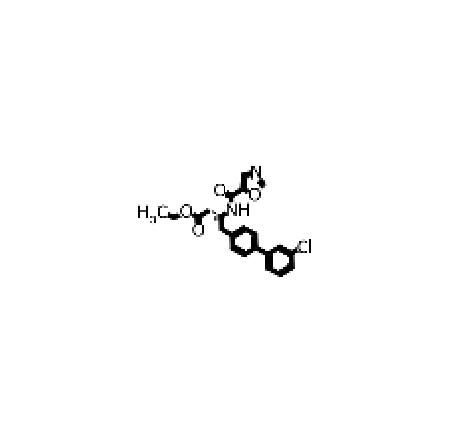 CCOC(=O)C[C@@H](Cc1ccc(-c2cccc(Cl)c2)cc1)NC(=O)c1cnco1